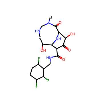 CCN1CNCC(O)C2NC(C1=O)C(O)C(=O)C2C(=O)NCC1C(F)CCC(F)C1F